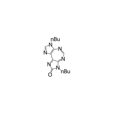 CCCCn1c2ncnc3c(ncn3CCCC)c-2nc1=O